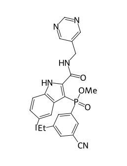 CCc1cc(C#N)cc(P(=O)(OC)c2c(C(=O)NCc3cncnc3)[nH]c3ccc(I)cc23)c1